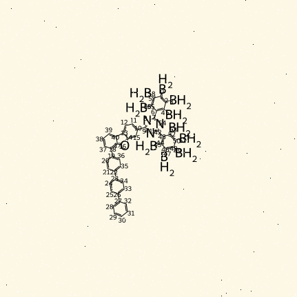 Bc1c(B)c(B)c(-c2nc(-c3ccc4c(c3)oc3c(-c5ccc(-c6ccc(-c7ccccc7)cc6)cc5)cccc34)nc(-c3c(B)c(B)c(B)c(B)c3B)n2)c(B)c1B